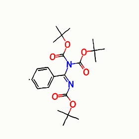 CC(C)(C)OC(=O)N=C(c1cc[c]cc1)N(C(=O)OC(C)(C)C)C(=O)OC(C)(C)C